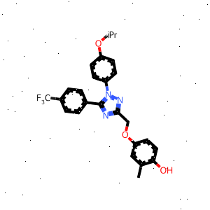 Cc1cc(OCc2nc(-c3ccc(C(F)(F)F)cc3)n(-c3ccc(OC(C)C)cc3)n2)ccc1O